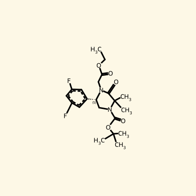 CCOC(=O)CN1C(=O)C(C)(C)N(C(=O)OC(C)(C)C)C[C@@H]1c1cc(F)cc(F)c1